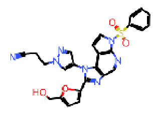 N#CCCn1cc(-n2c(-c3ccc(CO)o3)nc3cnc4c(ccn4S(=O)(=O)c4ccccc4)c32)cn1